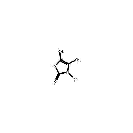 CCCCn1c(C)c(C)sc1=O